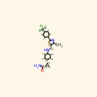 Cc1nc(-c2ccc(C(F)(F)F)cc2)sc1CNc1ccc([C@@H]2C[C@H]2C(N)=O)cc1